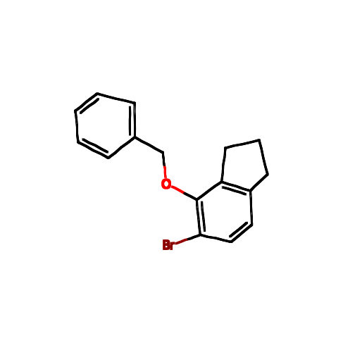 Brc1ccc2c(c1OCc1ccccc1)CCC2